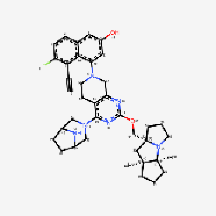 C#Cc1c(F)ccc2cc(O)cc(N3CCc4c(nc(OC[C@]56CCCN5[C@H]5CCC[C@H]5C6)nc4N4CC5CCC(C4)N5)C3)c12